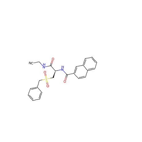 N#CCNC(=O)[C@H](CS(=O)(=O)Cc1ccccc1)NC(=O)c1ccc2ccccc2c1